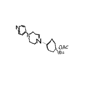 CC(=O)O[C@]1(C(C)(C)C)CC[C@H](N2CCN(c3ccncc3)CC2)CC1